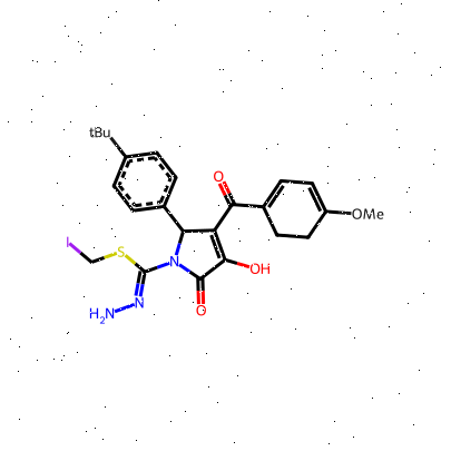 COC1=CC=C(C(=O)C2=C(O)C(=O)N(/C(=N/N)SCI)C2c2ccc(C(C)(C)C)cc2)CC1